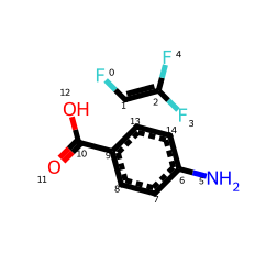 FC=C(F)F.Nc1ccc(C(=O)O)cc1